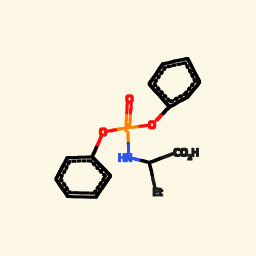 CCC(NP(=O)(Oc1ccccc1)Oc1ccccc1)C(=O)O